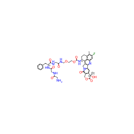 CC[C@@]1(O)C(=O)OCc2c1cc1n(c2=O)Cc2c-1nc1cc(F)c(C)c3c1c2[C@@H](NC(=O)OCCOCNC(=O)CNC(=O)[C@H](Cc1ccccc1)NC(=O)CNC(=O)CN)CC3